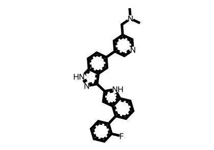 CN(C)Cc1cncc(-c2ccc3[nH]nc(-c4cc5c(-c6ccccc6F)cccc5[nH]4)c3c2)c1